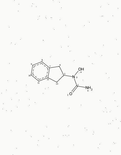 NC(=O)N(O)C1Cc2ccccc2C1